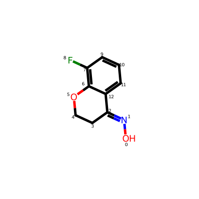 O/N=C1\CCOc2c(F)cccc21